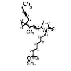 CCC#CCC1(C(O)C=CC2CCC(=O)N2CCCCCCC(=O)OC)CC1